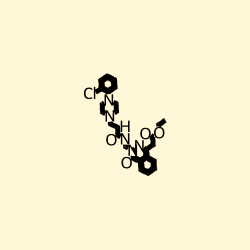 CCOC(=O)Cc1nn(CNC(=O)CCN2CCN(c3ccccc3Cl)CC2)c(=O)c2ccccc12